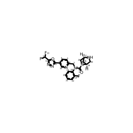 O=C(N(Cc1ccc(-c2nnc(C(F)F)o2)cn1)c1ccccc1F)N1C[C@@H]2C[C@H]1CN2